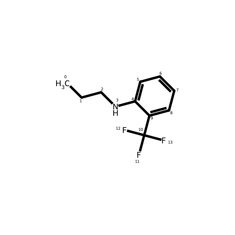 CCCNc1ccccc1C(F)(F)F